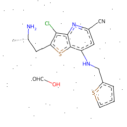 C[C@H](N)Cc1sc2c(NCc3cccs3)cc(C#N)nc2c1Cl.O=CO